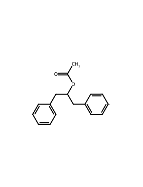 CC(=O)OC(Cc1cc[c]cc1)Cc1ccccc1